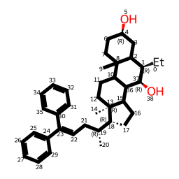 CC[C@@H]1C2C[C@H](O)CCC2(C)C2CC[C@@]3(C)C(CC[C@@H]3[C@H](C)CC=C(c3ccccc3)c3ccccc3)C2[C@@H]1O